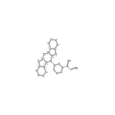 N=CC(=N)c1cccc(-c2c3oc4ccccc4c3cc3oc4ccccc4c23)c1